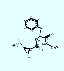 CCCNC(=O)[C@H](Cc1ccccc1)NC(=O)[C@H]1O[C@@H]1C(=O)O